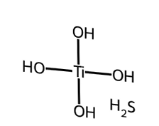 S.[OH][Ti]([OH])([OH])[OH]